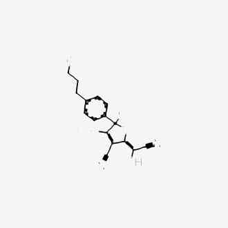 CCCCc1ccc(C2(C)O/C(=C(/C)C#N)C(C#N)=C2C)cc1